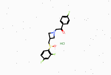 Cl.O=C(CN1CC(C[S+]([O-])c2ccc(F)cc2F)C1)c1ccc(F)cc1